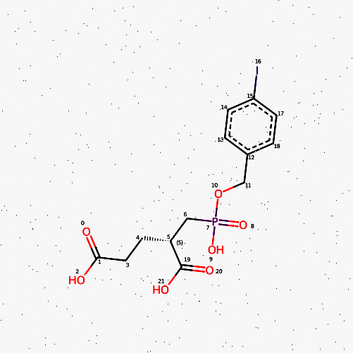 O=C(O)CC[C@H](CP(=O)(O)OCc1ccc(I)cc1)C(=O)O